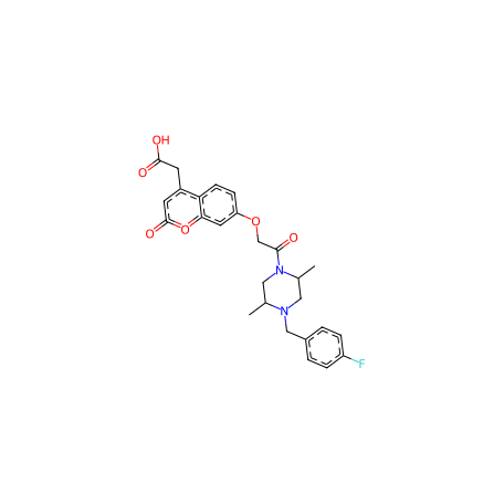 CC1CN(C(=O)COc2ccc3c(CC(=O)O)cc(=O)oc3c2)C(C)CN1Cc1ccc(F)cc1